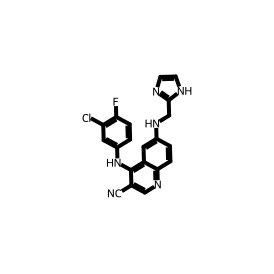 N#Cc1cnc2ccc(NCc3ncc[nH]3)cc2c1Nc1ccc(F)c(Cl)c1